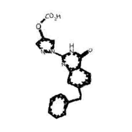 O=C(O)Oc1cnn(-c2nc3cc(Cc4ccccc4)ccc3c(=O)[nH]2)c1